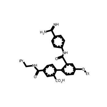 CCOc1ccc(-c2ccc(C(=O)NCC(C)C)cc2C(=O)O)c(C(=O)Nc2ccc(C(=N)N)cc2)c1